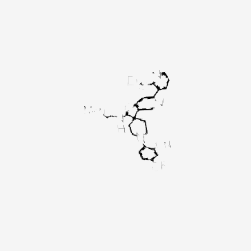 CCOc1ncccc1-c1ccc(C2(C(=O)NCCNC)CCN(c3ccc(C(F)(F)F)cc3C#N)CC2)cn1